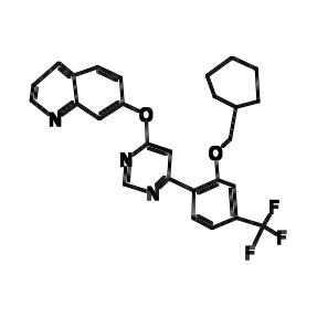 FC(F)(F)c1ccc(-c2cc(Oc3ccc4cccnc4c3)ncn2)c(OCC2CCCCC2)c1